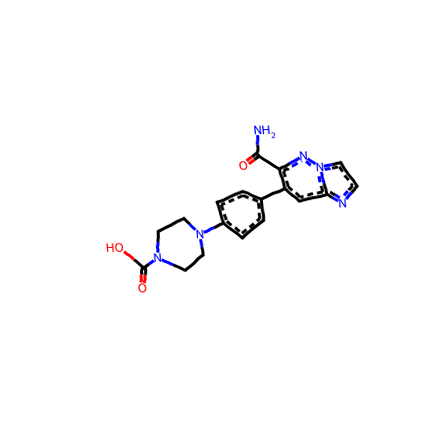 NC(=O)c1nn2ccnc2cc1-c1ccc(N2CCN(C(=O)O)CC2)cc1